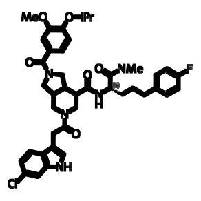 CNC(=O)[C@H](CCCc1ccc(F)cc1)NC(=O)C1CN(C(=O)Cc2c[nH]c3cc(Cl)ccc23)CC2CN(C(=O)c3ccc(OC(C)C)c(OC)c3)CC21